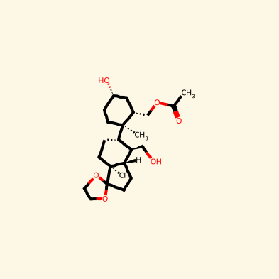 CC(=O)OC[C@H]1C[C@@H](O)CC[C@]1(C)[C@H]1CC[C@@]2(C)[C@@H](CCC23OCCO3)[C@@H]1CO